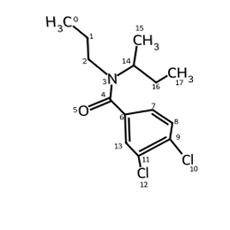 CCCN(C(=O)c1ccc(Cl)c(Cl)c1)C(C)CC